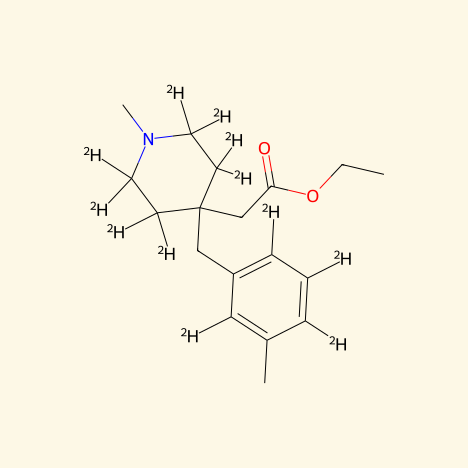 [2H]c1c([2H])c(C)c([2H])c(CC2(CC(=O)OCC)C([2H])([2H])C([2H])([2H])N(C)C([2H])([2H])C2([2H])[2H])c1[2H]